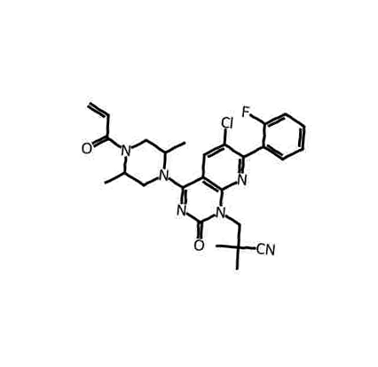 C=CC(=O)N1CC(C)N(c2nc(=O)n(CC(C)(C)C#N)c3nc(-c4ccccc4F)c(Cl)cc23)CC1C